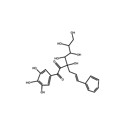 O=C(C(=O)C(O)(CC=Cc1ccccc1)C(O)C(O)C(O)CO)c1cc(O)c(O)c(O)c1